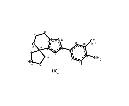 Cl.Nc1ncc(-c2cc3n(n2)CCO[C@]32CCNC2)cc1C(F)(F)F